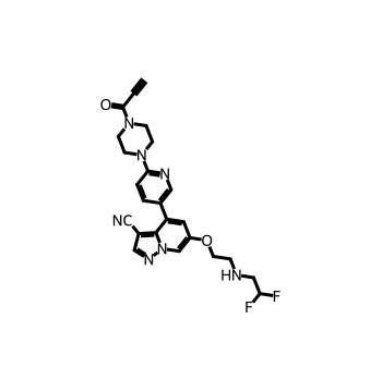 C#CC(=O)N1CCN(c2ccc(-c3cc(OCCNCC(F)F)cn4ncc(C#N)c34)cn2)CC1